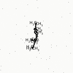 CC(C)CCCCC1CCC2C3CC=C4CC(SSCCC(=O)N(CCCCCCCC(C)(C)N)CCC(C)(C)N)CCC4(C)C3CCC12C